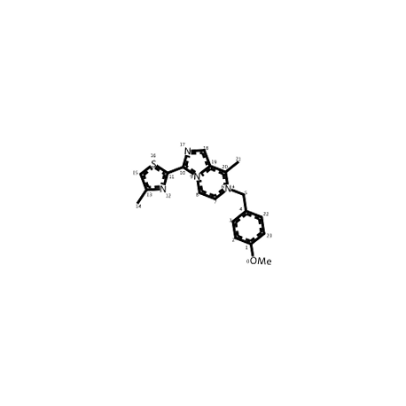 COc1ccc(C[n+]2ccn3c(-c4nc(C)cs4)ncc3c2C)cc1